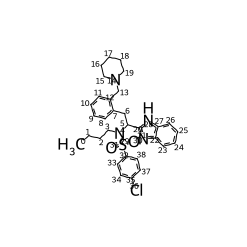 CCCCN(C(Cc1ccccc1CN1CCCCC1)c1nc2ccccc2[nH]1)S(=O)(=O)c1ccc(Cl)cc1